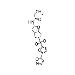 C=CC(=O)NC1CC2CN(S(=O)(=O)c3ccc(-c4ccno4)o3)CC2O1